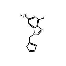 Nc1nc(Cl)c2ncn(Cc3cccs3)c2n1